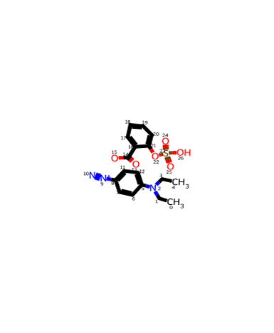 CCN(CC)c1ccc([N+]#N)cc1.O=C([O-])c1ccccc1OS(=O)(=O)O